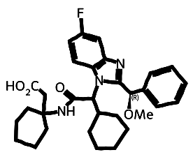 CO[C@H](c1ccccc1)c1nc2cc(F)ccc2n1C(C(=O)NC1(CC(=O)O)CCCCC1)C1CCCCC1